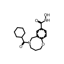 O=C(NO)c1ccc2c(c1)CN(C(=O)C1CCCCC1)CCCO2